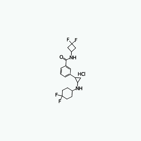 Cl.O=C(NC1CC(F)(F)C1)c1cccc(C2CC2NC2CCC(F)(F)CC2)c1